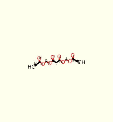 C#CC(=O)OCOC(=O)CC(=O)OCOC(=O)C#C